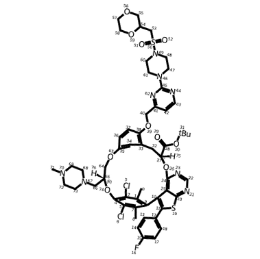 Cc1c(Cl)c2c(Cl)c(C)c1-c1c(-c3ccc(F)cc3)sc3ncnc(c13)O[C@@H](C(=O)OC(C)(C)C)Cc1cc(ccc1OCc1ccnc(N3CCN(S(=O)(=O)CC4COCCO4)CC3)n1)OC[C@@H](CN1CCN(C)CC1)O2